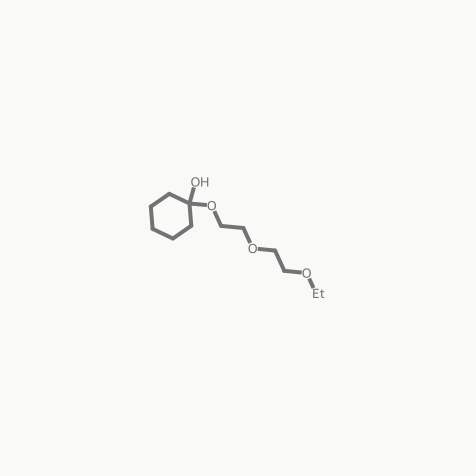 CCOCCOCCOC1(O)CCCCC1